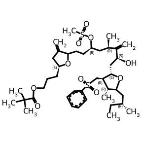 C=C1C[C@H](CCCOC(=O)C(C)(C)C)OC1CC[C@H](C[C@@H](C)C(=C)[C@@H](O)C[C@@H]1OC(C[C@H](C)CC)[C@H](C)[C@H]1CS(=O)(=O)c1ccccc1)OS(C)(=O)=O